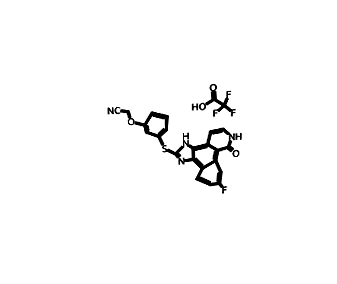 N#CCOc1cccc(Sc2nc3c4ccc(F)cc4c4c(=O)[nH]ccc4c3[nH]2)c1.O=C(O)C(F)(F)F